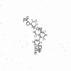 FC(F)Oc1cccc(-c2ccc3c(-c4cccc(OC(F)(F)F)c4)cccc3n2)c1